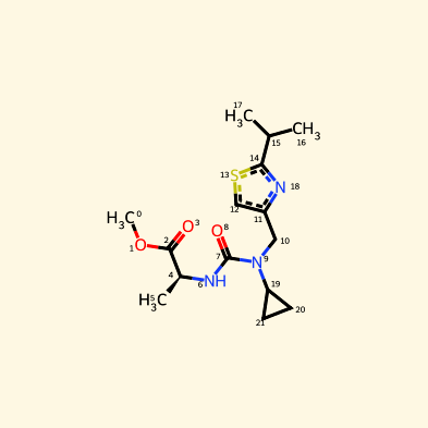 COC(=O)[C@H](C)NC(=O)N(Cc1csc(C(C)C)n1)C1CC1